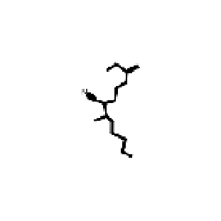 C=C(CC)CCCC(C#N)C(C)CCCCC